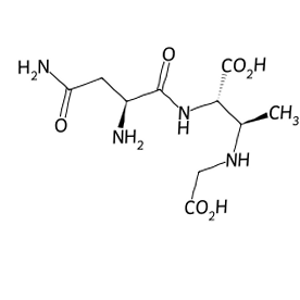 C[C@@H](NCC(=O)O)[C@H](NC(=O)[C@@H](N)CC(N)=O)C(=O)O